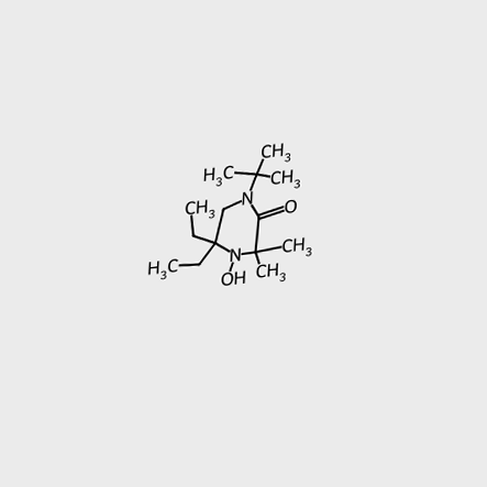 CCC1(CC)CN(C(C)(C)C)C(=O)C(C)(C)N1O